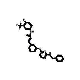 O=C(/C=C/c1cccc(Oc2ccnc(NCc3ccccc3)n2)c1)Nc1ccc(F)c(C(F)(F)F)c1